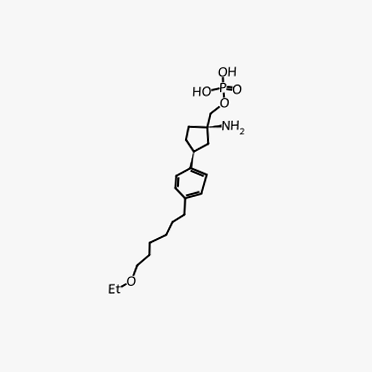 CCOCCCCCCc1ccc([C@H]2CC[C@](N)(COP(=O)(O)O)C2)cc1